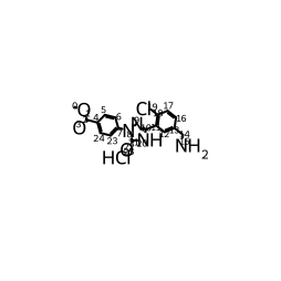 COC(=O)c1ccc(-n2nc(-c3cc(CN)ccc3Cl)[nH]c2=O)cc1.Cl